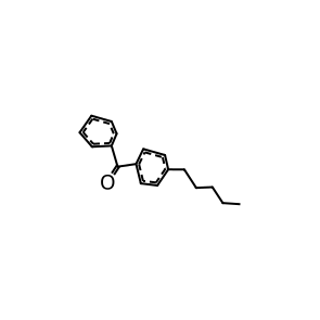 CCCCCc1ccc(C(=O)c2ccccc2)cc1